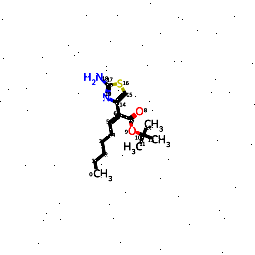 CCCCCC=C(C(=O)OC(C)(C)C)c1csc(N)n1